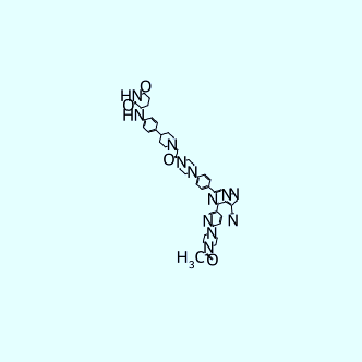 CC(=O)N1CCN(c2ccc(-c3nc(-c4ccc(N5CCN(C(=O)CN6CCC(c7ccc(NC8CCC(=O)NC8=O)cc7)CC6)CC5)cc4)cn4ncc(C#N)c34)cn2)CC1